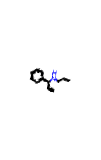 C=CCN[C](C=C)c1ccccc1